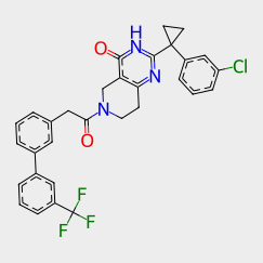 O=C(Cc1cccc(-c2cccc(C(F)(F)F)c2)c1)N1CCc2nc(C3(c4cccc(Cl)c4)CC3)[nH]c(=O)c2C1